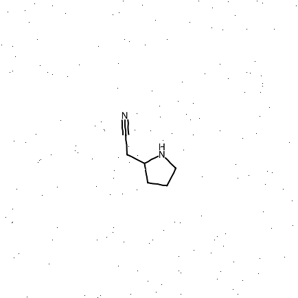 N#CCC1CCCN1